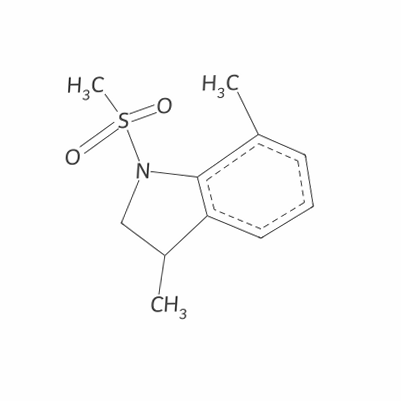 Cc1cccc2c1N(S(C)(=O)=O)CC2C